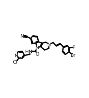 N#Cc1ccc2c3c(n(C(=O)NCc4ccnc(Cl)c4)c2c1)CCN(CC=Cc1ccc(Br)c(F)c1)C3